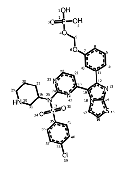 O=P(O)(O)OCOc1cccc(-c2nc3sccn3c2-c2ccnc(N(C3CCCNC3)S(=O)(=O)c3ccc(Cl)cc3)n2)c1